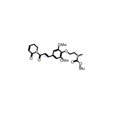 COc1cc(/C=C/C(=O)N2CCC=CC2=O)cc(OC)c1OCCN(C)C(=O)OC(C)(C)C